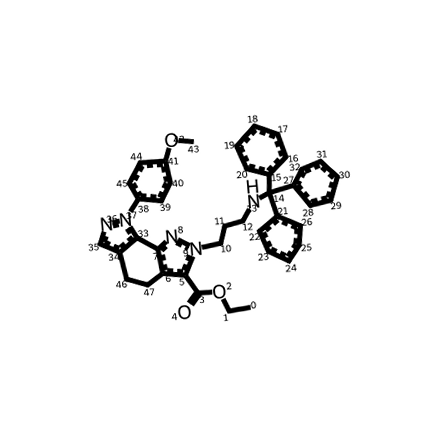 CCOC(=O)c1c2c(nn1CCCNC(c1ccccc1)(c1ccccc1)c1ccccc1)-c1c(cnn1-c1ccc(OC)cc1)CC2